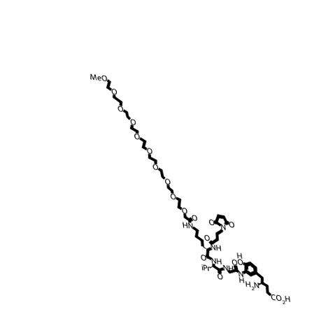 COCCOCCOCCOCCOCCOCCOCCOCCOCCOCC(=O)NCCCC[C@H](NC(=O)CCCN1C(=O)C=CC1=O)C(=O)N[C@H](C(=O)NCC(=O)Nc1cc(C[C@H](N)CCC(=O)O)ccc1O)C(C)C